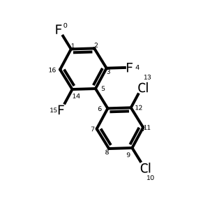 Fc1cc(F)c(-c2ccc(Cl)[c]c2Cl)c(F)c1